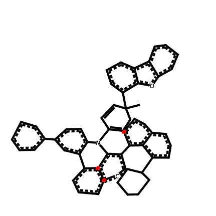 CC1(c2cccc3c2oc2ccccc23)C=CC(N(c2ccc(-c3ccccc3)cc2-c2ccccc2)c2ccccc2-c2cccc3cccc(C4CCCCC4)c23)=CC1